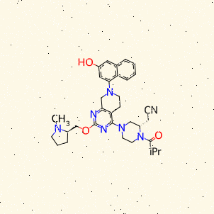 CC(C)C(=O)N1CCN(c2nc(OC[C@H]3CCCN3C)nc3c2CCN(c2cc(O)cc4ccccc24)C3)C[C@@H]1CC#N